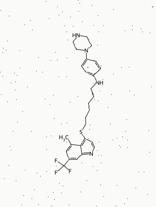 Cc1cc(C(F)(F)F)cc2nccc(SCCCCCCNc3ccc(N4CCNCC4)cc3)c12